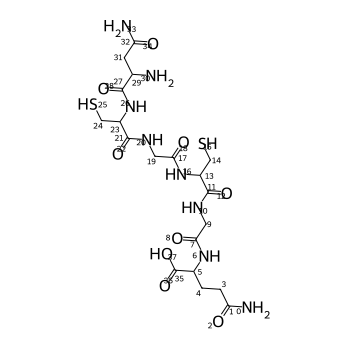 NC(=O)CCC(NC(=O)CNC(=O)C(CS)NC(=O)CNC(=O)C(CS)NC(=O)C(N)CC(N)=O)C(=O)O